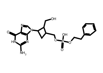 Nc1nc2c(ncn2C2CC(COP(=O)(O)OCCc3ccccc3)C2CO)c(=O)[nH]1